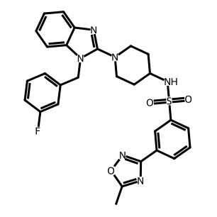 Cc1nc(-c2cccc(S(=O)(=O)NC3CCN(c4nc5ccccc5n4Cc4cccc(F)c4)CC3)c2)no1